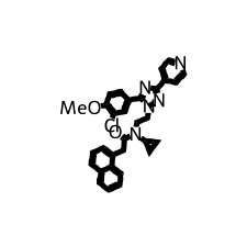 COc1ccc(-c2nc(-c3ccncc3)nn2CCN(C(=O)Cc2cccc3ccccc23)C2CC2)cc1Cl